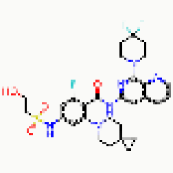 O=C(Nc1cc2cccnc2c(N2CCC(F)(F)CC2)n1)c1c(F)cc(NS(=O)(=O)CCO)cc1N1CCC2(CC1)CC2